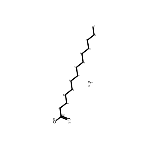 CCCCCCCCCCCCCC(=O)[O-].[Fr+]